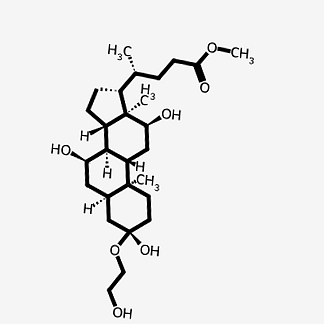 COC(=O)CC[C@@H](C)[C@H]1CC[C@H]2[C@@H]3[C@H](O)C[C@@H]4C[C@@](O)(OCCO)CC[C@]4(C)[C@H]3C[C@H](O)[C@]12C